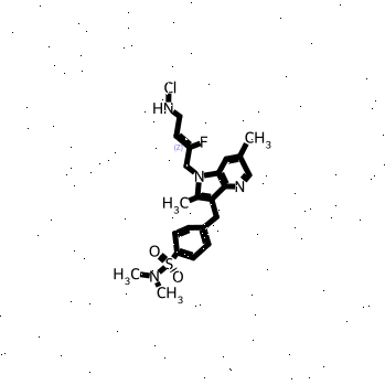 Cc1cnc2c(Cc3ccc(S(=O)(=O)N(C)C)cc3)c(C)n(C/C(F)=C/CNCl)c2c1